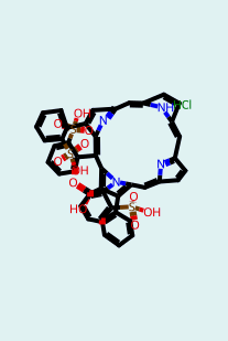 Cl.O=C(O)c1c(-c2ccccc2)c2cc3nc(cc4ccc(cc5nc(c(-c6ccccc6S(=O)(=O)O)c1n2-c1ccccc1S(=O)(=O)O)C(c1ccccc1S(=O)(=O)O)=C5)[nH]4)C=C3